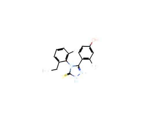 CCc1cccc(C)c1-n1c(-c2ccc(O)cc2C)n[nH]c1=S